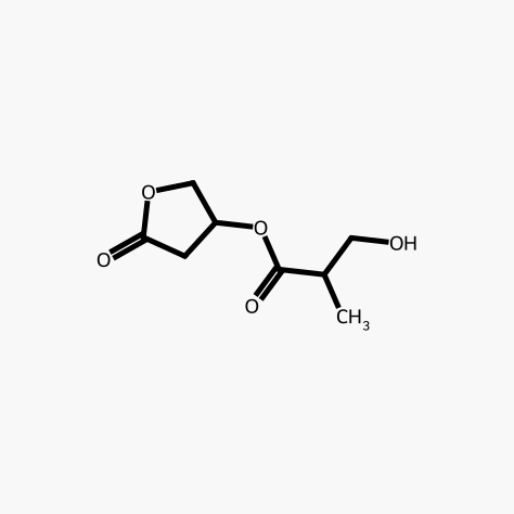 CC(CO)C(=O)OC1COC(=O)C1